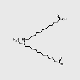 NCC(CCCCCCCCCCCC(=O)O)NCCCCCCCCCCCC(=O)O